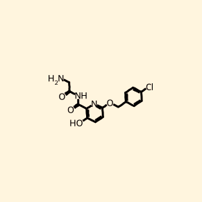 NCC(=O)NC(=O)c1nc(OCc2ccc(Cl)cc2)ccc1O